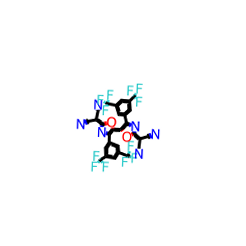 N#CC(C#N)=c1nc(-c2cc(C(F)(F)F)cc(C(F)(F)F)c2)/c(=c2\oc(=C(C#N)C#N)nc2-c2cc(C(F)(F)F)cc(C(F)(F)F)c2)o1